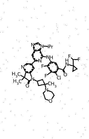 CC(C)n1cnc2cc(-c3cnc4c(c3)N(C3CC(C)(N5CCOCC5)C3)C(=O)C4(C)C)nc(Nc3cc(C(=O)NC4(C(F)F)CC4)c(Cl)c(F)c3F)c21